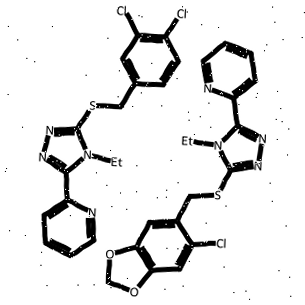 CCn1c(SCc2cc3c(cc2Cl)OCO3)nnc1-c1ccccn1.CCn1c(SCc2ccc(Cl)c(Cl)c2)nnc1-c1ccccn1